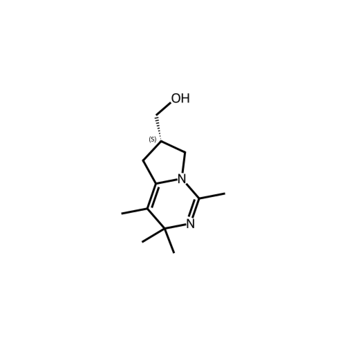 CC1=NC(C)(C)C(C)=C2C[C@H](CO)CN12